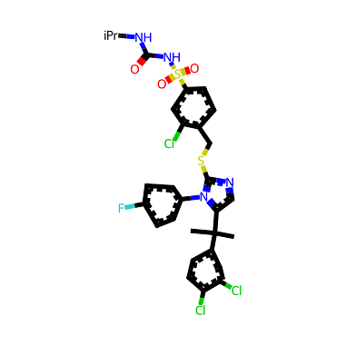 CC(C)NC(=O)NS(=O)(=O)c1ccc(CSc2ncc(C(C)(C)c3ccc(Cl)c(Cl)c3)n2-c2ccc(F)cc2)c(Cl)c1